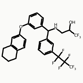 OC(CNC(c1cccc(Oc2ccc3c(c2)CCCC3)c1)c1cccc(C(F)(F)C(F)(F)C(F)(F)F)c1)C(F)(F)F